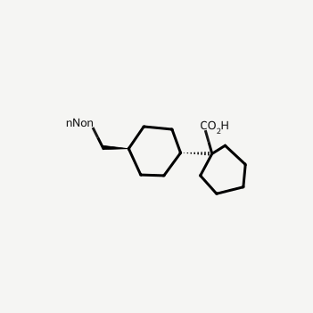 CCCCCCCCCC[C@H]1CC[C@H](C2(C(=O)O)CCCCC2)CC1